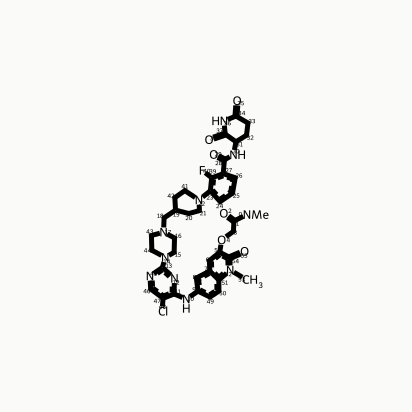 CNC(=O)COc1cc2cc(Nc3nc(N4CCN(CC5CCN(c6cccc(C(=O)NC7CCC(=O)NC7=O)c6F)CC5)CC4)ncc3Cl)ccc2n(C)c1=O